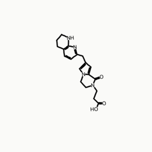 O=C(O)CCN1CCn2cc(Cc3ccc4c(n3)NCCC4)cc2C1=O